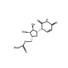 CNC(=O)OC[C@H]1O[C@@H](n2ccc(=O)[nH]c2=S)[C@H](O)[C@@H]1O